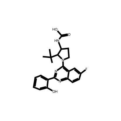 CC(C)(C)C1C(NC(=O)O)CCN1c1nc(-c2ccccc2O)nc2ccc(F)cc12